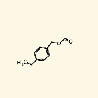 CCc1ccc(COC=O)cc1